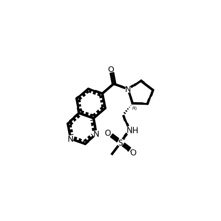 CS(=O)(=O)NC[C@H]1CCCN1C(=O)c1ccc2cncnc2c1